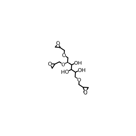 OC(COCC1CO1)C(O)C(O)C(COCC1CO1)OCC1CO1